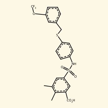 Cc1cc(S(=O)(=O)Nc2ccc(SCc3cccc(OC(F)(F)F)c3)cc2)cc(C(=O)O)c1C